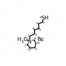 C[N+]1(CCCCCCS)CCCCC1.[Br-]